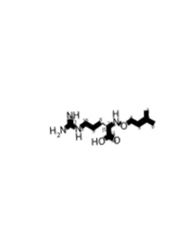 CC(C)=CCON[C@@H](CCCNC(=N)N)C(=O)O